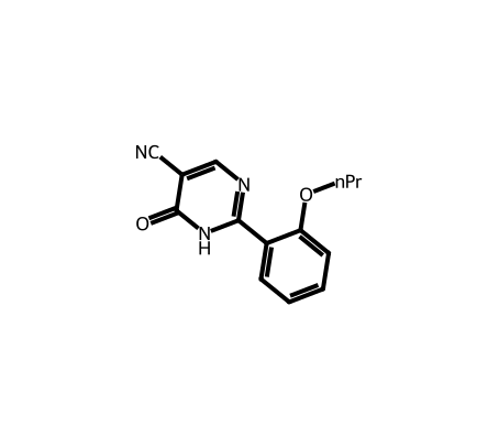 CCCOc1ccccc1-c1ncc(C#N)c(=O)[nH]1